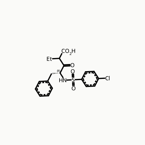 CCC(C(=O)O)C(=O)[C@@H](Cc1ccccc1)NS(=O)(=O)c1ccc(Cl)cc1